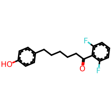 O=C(CCCCCc1ccc(O)cc1)c1c(F)cccc1F